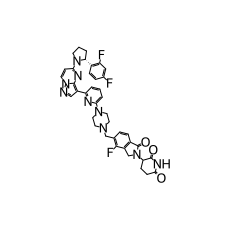 O=C1CCC(N2Cc3c(ccc(CN4CCN(c5cccc(-c6cnn7ccc(N8CCC[C@@H]8c8ccc(F)cc8F)nc67)n5)CC4)c3F)C2=O)C(=O)N1